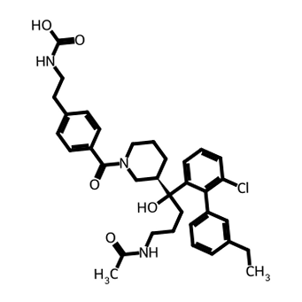 CCc1cccc(-c2c(Cl)cccc2C(O)(CCCNC(C)=O)[C@@H]2CCCN(C(=O)c3ccc(CCNC(=O)O)cc3)C2)c1